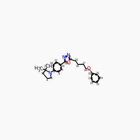 CC1(C)[CH]CCN1c1ccc(-c2nnc(CCCCOc3ccccc3)o2)cc1